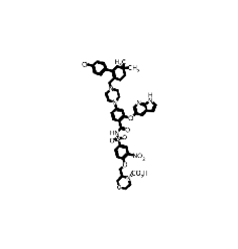 CC1(C)CCC(CN2CCN(c3ccc(C(=O)NS(=O)(=O)c4ccc(OCC5COCCN5C(=O)O)c([N+](=O)[O-])c4)c(Oc4cnc5[nH]ccc5c4)c3)CC2)=C(c2ccc(Cl)cc2)C1